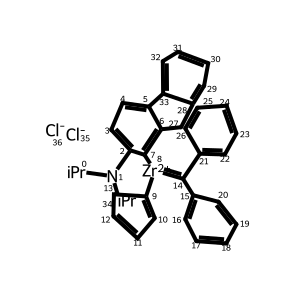 CC(C)N(c1ccc2c([c]1[Zr+2]([C]1=CC=CC1)=[C](c1ccccc1)c1ccccc1)Cc1ccccc1-2)C(C)C.[Cl-].[Cl-]